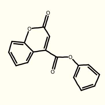 O=C(Oc1ccccc1)c1cc(=O)oc2ccccc12